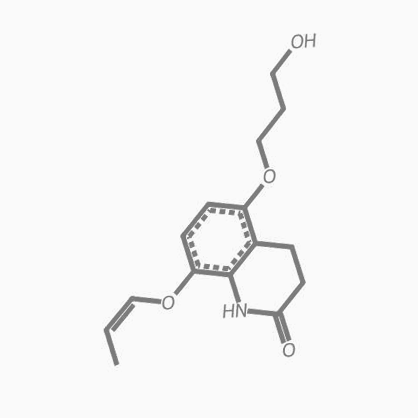 C/C=C\Oc1ccc(OCCCO)c2c1NC(=O)CC2